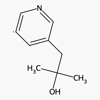 CC(C)(O)Cc1c[c]cnc1